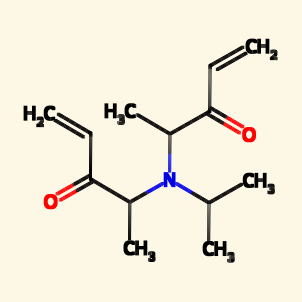 C=CC(=O)C(C)N(C(C)C)C(C)C(=O)C=C